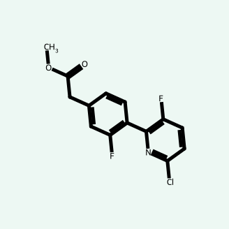 COC(=O)Cc1ccc(-c2nc(Cl)ccc2F)c(F)c1